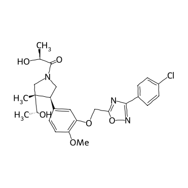 COc1ccc([C@@H]2CN(C(=O)[C@H](C)O)C[C@@]2(C)[C@@H](C)O)cc1OCc1nc(-c2ccc(Cl)cc2)no1